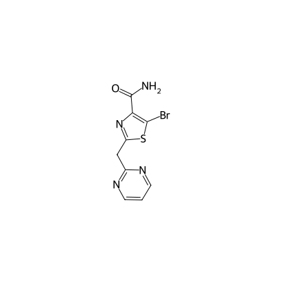 NC(=O)c1nc(Cc2ncccn2)sc1Br